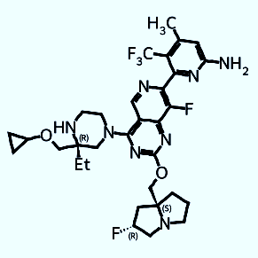 CC[C@]1(COC2CC2)CN(c2nc(OC[C@@]34CCCN3C[C@H](F)C4)nc3c(F)c(-c4nc(N)cc(C)c4C(F)(F)F)ncc23)CCN1